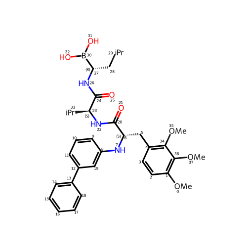 COc1ccc(C[C@H](Nc2cccc(-c3ccccc3)c2)C(=O)N[C@H](C(=O)N[C@@H](CC(C)C)B(O)O)C(C)C)c(OC)c1OC